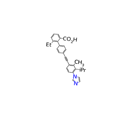 CCc1cccc(C(=O)O)c1-c1ccc(C#Cc2ccc(-n3ccnc3)c(C(C)C)c2C)cc1